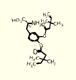 C=CC(C)(C)CC(=O)Oc1ccc(C[C@H](N)C(=O)O)cc1OC(=O)CC(C)(C)C=C